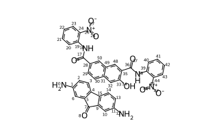 Nc1ccc2c(c1)C(=O)c1cc(N)ccc1-2.O=C(Nc1ccccc1[N+](=O)[O-])c1ccc2cc(O)c(C(=O)Nc3ccccc3[N+](=O)[O-])cc2c1